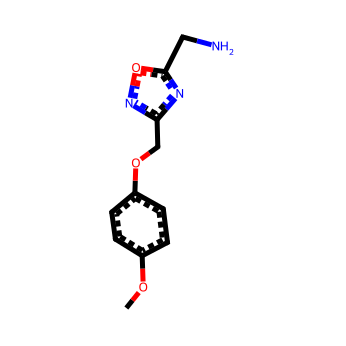 COc1ccc(OCc2noc(CN)n2)cc1